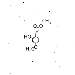 CCOC(=O)C=Cc1ccc(OC)cc1O